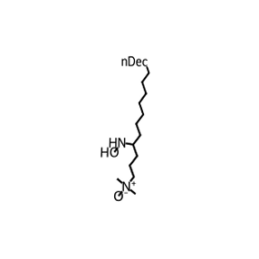 CCCCCCCCCCCCCCCCCC(CCC[N+](C)(C)[O-])NO